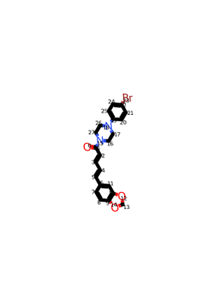 O=C(C=CC=Cc1ccc2c(c1)OCO2)N1CCN(c2ccc(Br)cc2)CC1